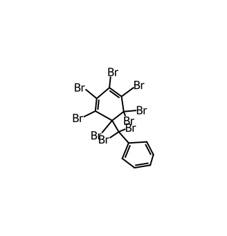 BrC1=C(Br)C(Br)(Br)C(Br)(C(Br)(Br)c2ccccc2)C(Br)=C1Br